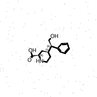 O=C(O)[C@H]1C[C@@H]([C@@H](CO)c2ccccc2)CCN1